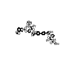 CC(C)C(NC(=O)OC(C)(C)C)C(=O)N1CCC[C@H]1c1nc(-c2ccc(-c3ccc(-c4cnc([C@@H]5C[C@@H](OC(=O)N6Cc7ccc8c(c7C6)OCO8)CN5C(=O)[C@@H](NC(=O)OC(C)(C)C)C(C)C)[nH]4)cc3)cc2)c[nH]1